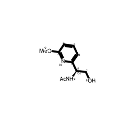 COc1cccc([C@@H](CO)NC(C)=O)n1